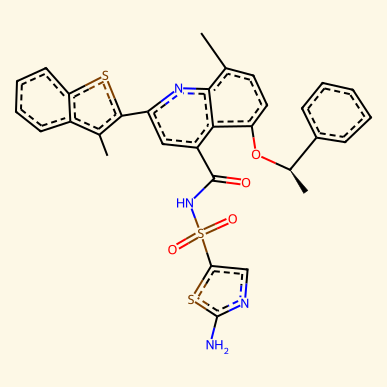 Cc1c(-c2cc(C(=O)NS(=O)(=O)c3cnc(N)s3)c3c(O[C@H](C)c4ccccc4)ccc(C)c3n2)sc2ccccc12